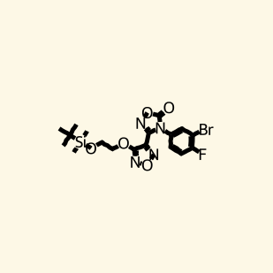 CC(C)(C)[Si](C)(C)OCCOc1nonc1-c1noc(=O)n1-c1ccc(F)c(Br)c1